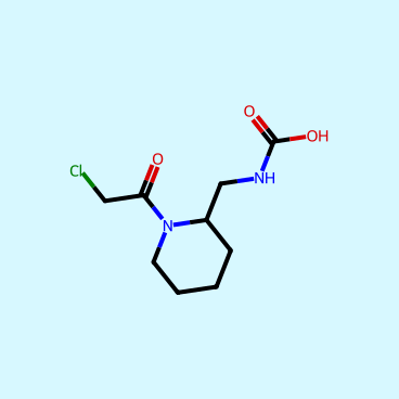 O=C(O)NCC1CCCCN1C(=O)CCl